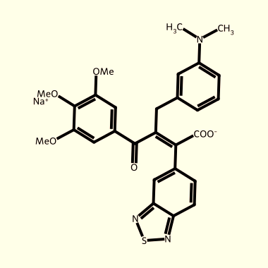 COc1cc(C(=O)C(Cc2cccc(N(C)C)c2)=C(C(=O)[O-])c2ccc3nsnc3c2)cc(OC)c1OC.[Na+]